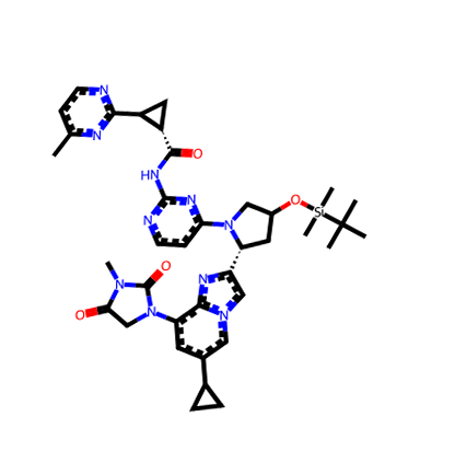 Cc1ccnc(C2C[C@@H]2C(=O)Nc2nccc(N3CC(O[Si](C)(C)C(C)(C)C)C[C@@H]3c3cn4cc(C5CC5)cc(N5CC(=O)N(C)C5=O)c4n3)n2)n1